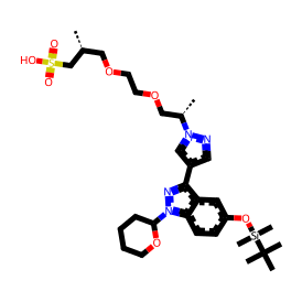 C[C@H](COCCOC[C@H](C)n1cc(-c2nn(C3CCCCO3)c3ccc(O[Si](C)(C)C(C)(C)C)cc23)cn1)CS(=O)(=O)O